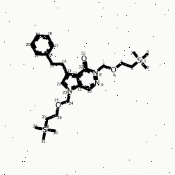 C[Si](C)(C)CCOCn1ncc2c(c(CCc3ccccc3)cn2COCC[Si](C)(C)C)c1=O